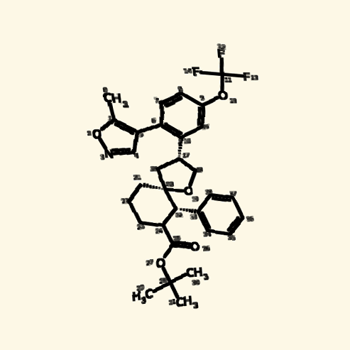 Cc1oncc1-c1ccc(OC(F)(F)F)cc1[C@@H]1CO[C@]2(CCCC(C(=O)OC(C)(C)C)[C@H]2c2ccccc2)C1